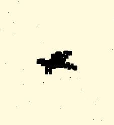 CCCCCCOc1c(OCCCC)c(=O)n(C)c2cc(NCCCC)ccc12